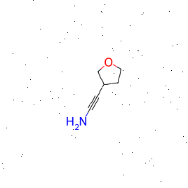 NC#CC1CCOC1